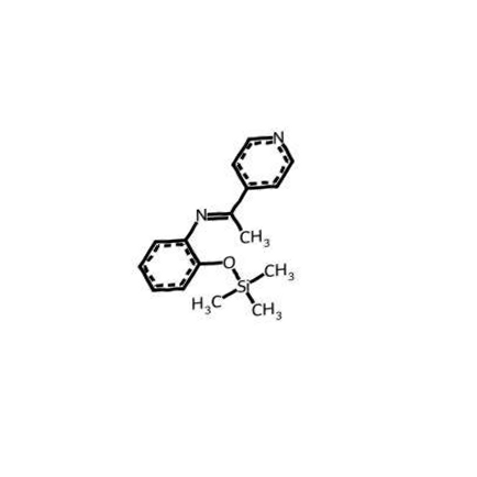 CC(=Nc1ccccc1O[Si](C)(C)C)c1ccncc1